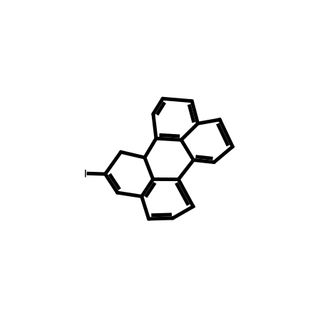 IC1=Cc2cccc3c2C(C1)c1cccc2cccc-3c12